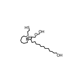 OCCCCCCCCCCCCC(CCOCO)N1CCCCCC[SiH]1CCCS